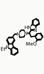 CCn1c2ccccc2c2cc(CN3CCN(C(Cc4ccccc4OC)c4nc5ccccc5[nH]4)CC3)ccc21